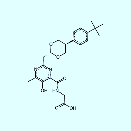 Cc1nc(C[C@H]2OC[C@H](c3ccc(C(C)(C)C)cc3)CO2)nc(C(=O)NCC(=O)O)c1O